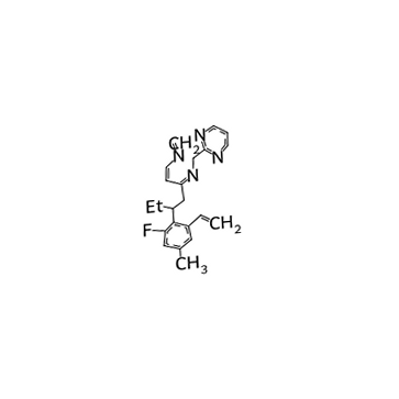 C=Cc1cc(C)cc(F)c1C(CC)CC(/C=C\N=C)=N/Cc1ncccn1